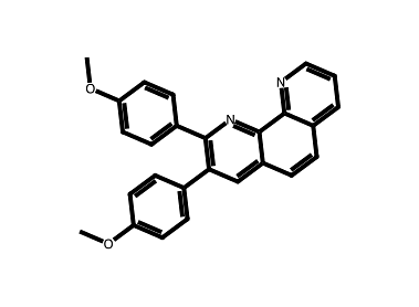 COc1ccc(-c2cc3ccc4cccnc4c3nc2-c2ccc(OC)cc2)cc1